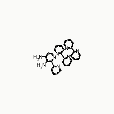 Nc1ccnc(-c2ccccn2)c1N.c1ccc(-c2ccccn2)nc1.c1ccc(-c2ccccn2)nc1